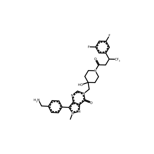 Cn1nc2c(=O)n(CC3(O)CCN(C(=O)CC(c4cc(F)cc(F)c4)C(F)(F)F)CC3)cnc2c1-c1ccc(CN)cc1